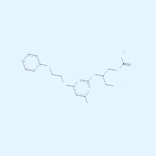 CC(C)(C)OC(=O)NCC(CC(=O)O)Nc1nc(Cl)cc(OCCOc2ccccc2)n1